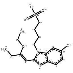 CCOC(=Cc1sc2ccc(Cl)cc2[n+]1CCCCS(=O)(=O)[O-])CC